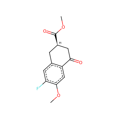 COC(=O)[C@H]1CC(=O)c2cc(OC)c(F)cc2C1